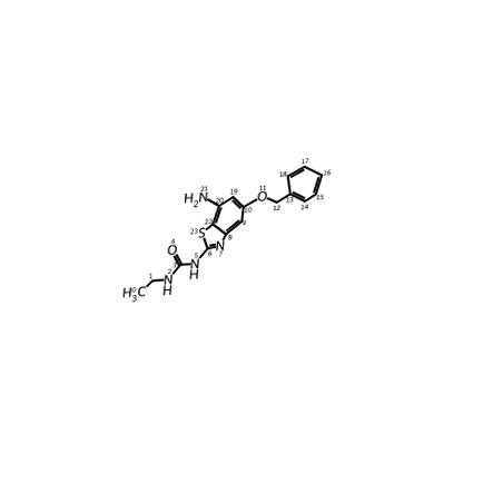 CCNC(=O)Nc1nc2cc(OCc3ccccc3)cc(N)c2s1